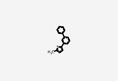 Cc1ccc(-c2cccc(-c3ccccc3)c2)s1